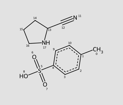 Cc1ccc(S(=O)(=O)O)cc1.N#CC1CCCN1